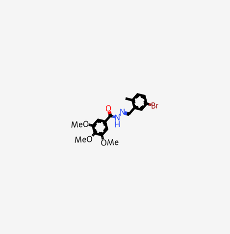 COc1cc(C(=O)NN=Cc2cc(Br)ccc2C)cc(OC)c1OC